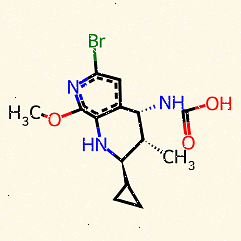 COc1nc(Br)cc2c1N[C@H](C1CC1)[C@@H](C)[C@H]2NC(=O)O